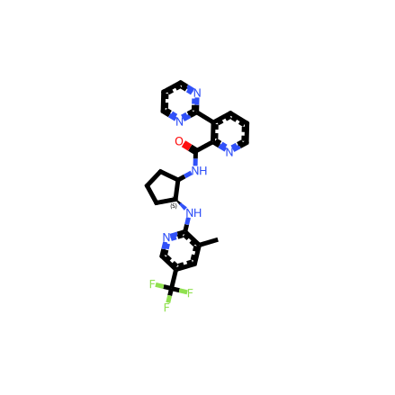 Cc1cc(C(F)(F)F)cnc1N[C@H]1CCCC1NC(=O)c1ncccc1-c1ncccn1